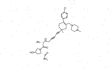 CN1CCN(CC2=C(c3ccc(Cl)cc3)CCC(C)(C#CC#CCN[C@H](C(=O)N3C[C@H](O)C[C@H]3C(N)=O)C(C)(C)C)C2)CC1